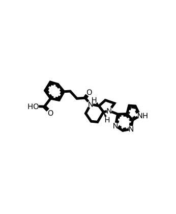 O=C(O)c1cccc(CCC(=O)N2CCC[C@@H]3[C@H]2CCN3c2ncnc3[nH]ccc23)c1